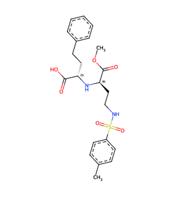 COC(=O)[C@@H](CCNS(=O)(=O)c1ccc(C)cc1)N[C@@H](CCc1ccccc1)C(=O)O